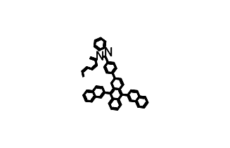 C=C(/C=C\C=C/C)n1c(-c2ccc(C3C=Cc4c(c(-c5ccc6ccccc6c5)c5ccccc5c4-c4ccc5ccccc5c4)C3)cc2)nc2ccccc21